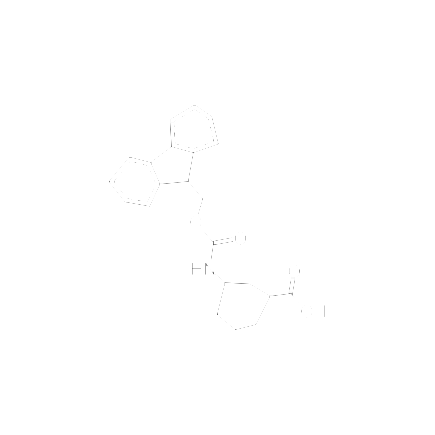 O=C(NC1CCCC(C(=O)O)C1)OCC1c2ccccc2-c2ccccc21